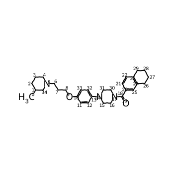 CC1CCCN(CCCOc2ccc(N3CCN(C(=O)c4ccc5c(c4)CCCC5)CC3)cc2)C1